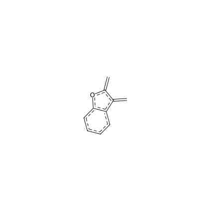 C=c1oc2ccccc2c1=C